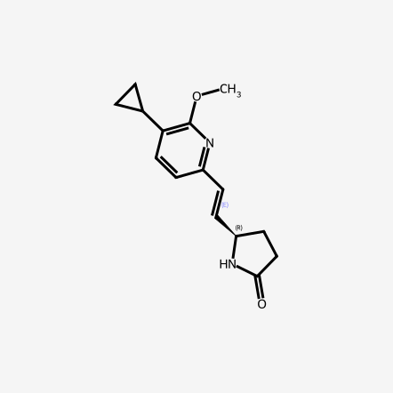 COc1nc(/C=C/[C@H]2CCC(=O)N2)ccc1C1CC1